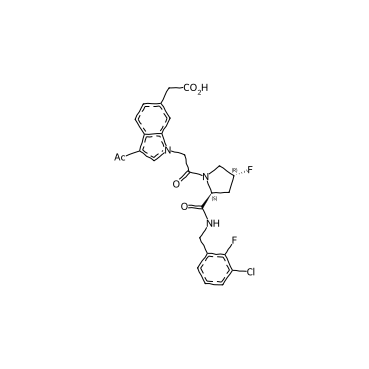 CC(=O)c1cn(CC(=O)N2C[C@H](F)C[C@H]2C(=O)NCc2cccc(Cl)c2F)c2cc(CC(=O)O)ccc12